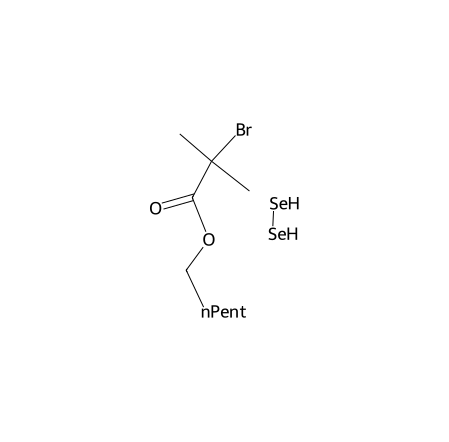 CCCCCCOC(=O)C(C)(C)Br.[SeH][SeH]